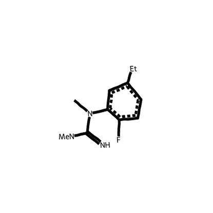 CCc1ccc(F)c(N(C)C(=N)NC)c1